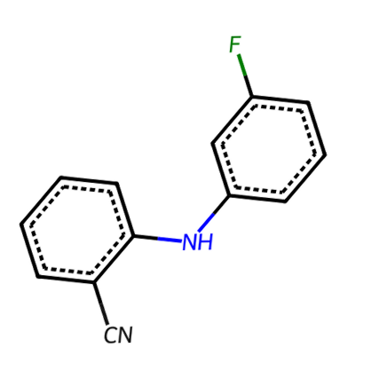 N#Cc1ccccc1Nc1cccc(F)c1